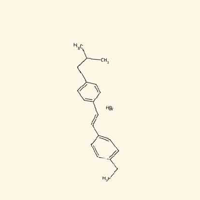 Br.CC(C)Cc1ccc(/C=C/c2ccc(CP)cc2)cc1